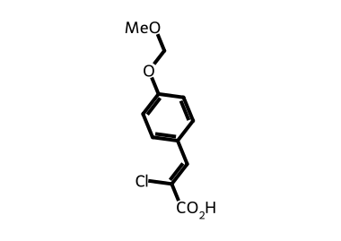 COCOc1ccc(C=C(Cl)C(=O)O)cc1